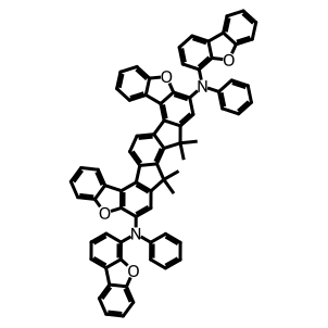 CC1(C)c2cc(N(c3ccccc3)c3cccc4c3oc3ccccc34)c3oc4ccccc4c3c2-c2ccc3c(c21)C(C)(C)c1cc(N(c2ccccc2)c2cccc4c2oc2ccccc24)c2oc4ccccc4c2c1-3